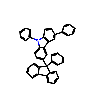 c1ccc(-c2ccc3c(c2)c2cc(C4(c5ccccc5)c5ccccc5-c5ccccc54)ccc2n3-c2ccccc2)cc1